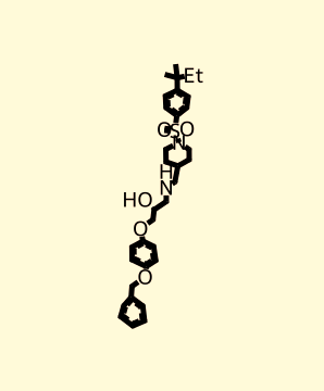 CCC(C)(C)c1ccc(S(=O)(=O)N2CCC(CNC[C@H](O)COc3ccc(OCc4ccccc4)cc3)CC2)cc1